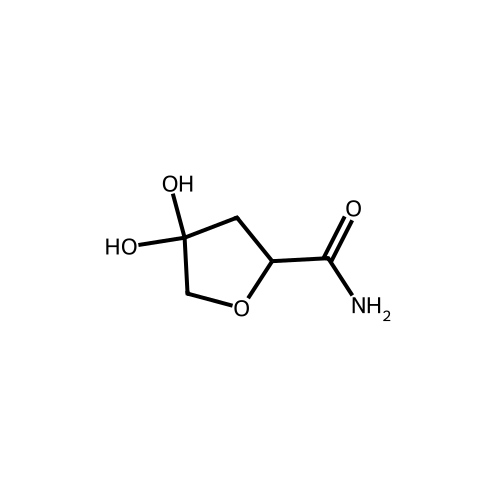 NC(=O)C1CC(O)(O)CO1